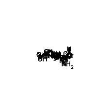 Cc1c(C#N)cccc1-c1cc(-c2cn(Cc3cccc(C(C)(C)CCC(=O)O)n3)nn2)nc(N)n1